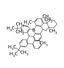 Cc1cc2c3c(c1)C(c1ccc(C(C)(C)C)cc1-c1ccccc1)c1cc(C(C)(C)C)ccc1B3c1c(C)cc(C)c3c1C2CC1(C)CCCCC31C